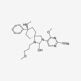 CN[C@]1(c2ccccc2)CC[C@]2(CC1)CN(c1cnc(C#N)nc1OC)C(O)N2CCCOC